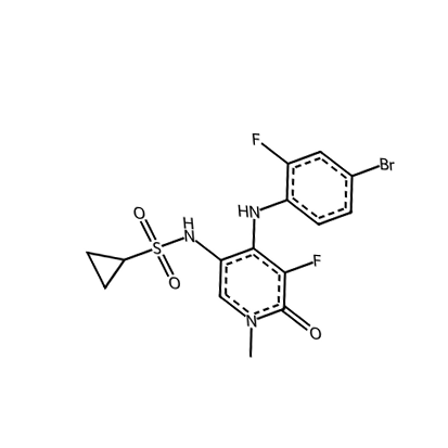 Cn1cc(NS(=O)(=O)C2CC2)c(Nc2ccc(Br)cc2F)c(F)c1=O